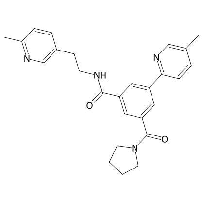 Cc1ccc(-c2cc(C(=O)NCCc3ccc(C)nc3)cc(C(=O)N3CCCC3)c2)nc1